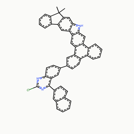 CC1(C)c2ccccc2-c2cc3c(cc21)[nH]c1cc2c4ccccc4c4ccc(-c5ccc6nc(Cl)nc(-c7ccc8ccccc8c7)c6c5)cc4c2cc13